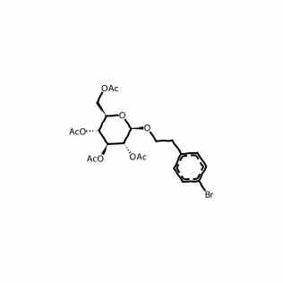 CC(=O)OC[C@H]1O[C@@H](OCCc2ccc(Br)cc2)[C@H](OC(C)=O)[C@@H](OC(C)=O)[C@@H]1OC(C)=O